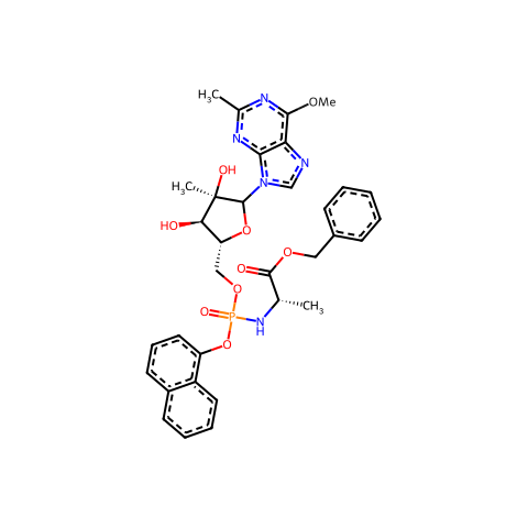 COc1nc(C)nc2c1ncn2C1O[C@H](COP(=O)(N[C@@H](C)C(=O)OCc2ccccc2)Oc2cccc3ccccc23)[C@@H](O)[C@@]1(C)O